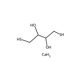 OC(CS)C(O)CS.[CaH2]